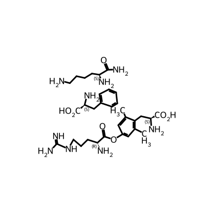 Cc1cc(OC(=O)[C@H](N)CCCNC(=N)N)cc(C)c1C[C@H](N)C(=O)O.NCCCC[C@H](N)C(N)=O.N[C@@H](Cc1ccccc1)C(=O)O